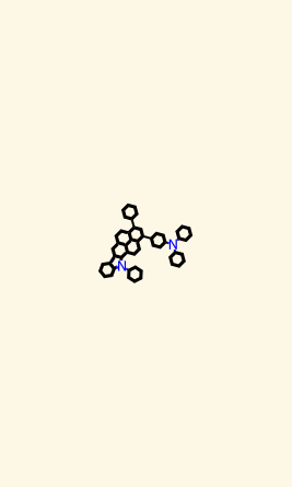 c1ccc(-c2cc(-c3ccc(N(c4ccccc4)c4ccccc4)cc3)c3ccc4c5c(ccc2c35)cc2c3ccccc3n(-c3ccccc3)c24)cc1